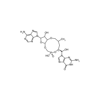 CC1COC2C(OCP(=O)(O)O[C@H](C(O)n3cnc4c(=O)[nH]c(N)nc43)C1)OC(n1cnc3c(N)ncnc31)C2O